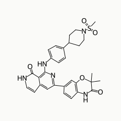 CC1(C)Oc2cc(-c3cc4cc[nH]c(=O)c4c(Nc4ccc(C5CCN(S(C)(=O)=O)CC5)cc4)n3)ccc2NC1=O